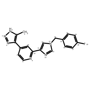 Cc1[nH]nnc1-c1ccnc(-c2cn(Cc3ccc(F)cc3)cn2)c1